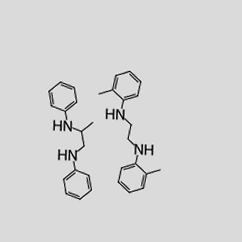 CC(CNc1ccccc1)Nc1ccccc1.Cc1ccccc1NCCNc1ccccc1C